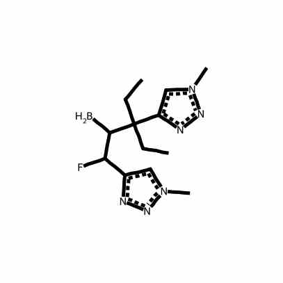 BC(C(F)c1cn(C)nn1)C(CC)(CC)c1cn(C)nn1